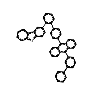 c1ccc(-c2cccc(-c3c4ccccc4c(-c4ccc(-c5ccccc5-c5ccc6oc7ccccc7c6c5)cc4)c4ccccc34)c2)cc1